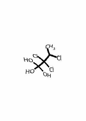 CC(Cl)C(Cl)(Cl)C(O)(O)O